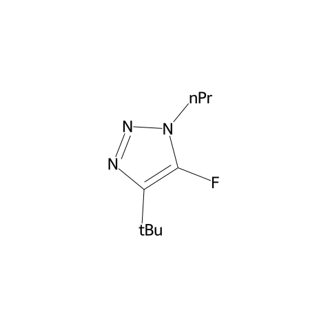 CCCn1nnc(C(C)(C)C)c1F